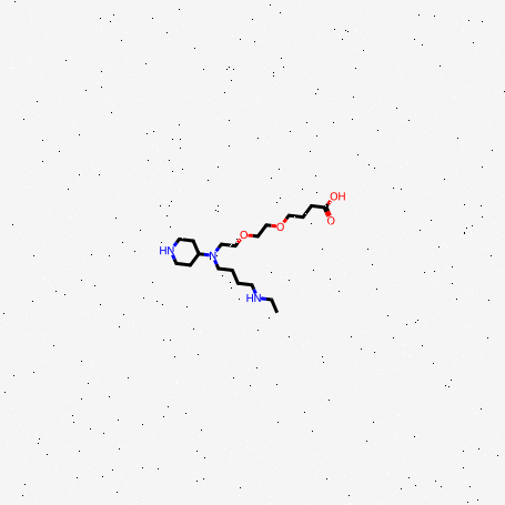 CCNCCCCN(CCOCCOCCCC(=O)O)C1CCNCC1